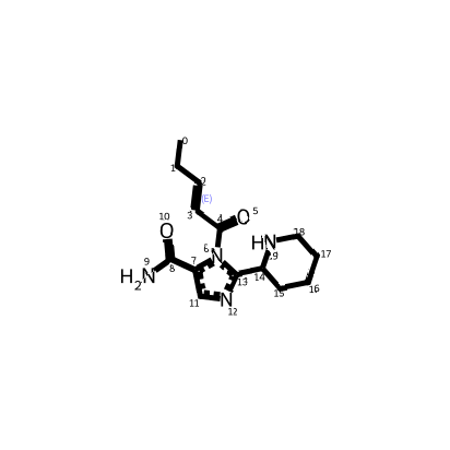 CC/C=C/C(=O)n1c(C(N)=O)cnc1C1CCCCN1